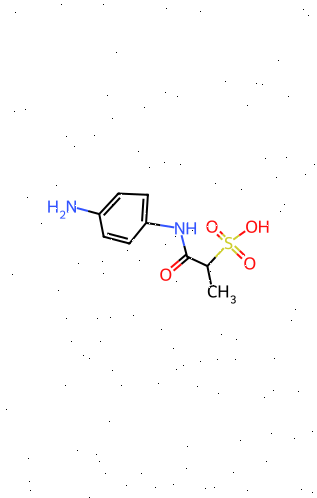 CC(C(=O)Nc1ccc(N)cc1)S(=O)(=O)O